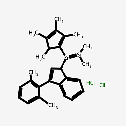 CC1=C(C)C(C)[C]([Zr]([CH]2C=C(c3c(C)cccc3C)c3ccccc32)=[Si](C)C)=C1C.Cl.Cl